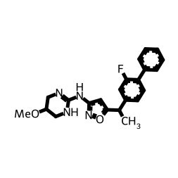 COC1CN=C(Nc2cc(C(C)c3ccc(-c4ccccc4)c(F)c3)on2)NC1